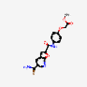 CC(C)(C)OC(=O)COc1ccc(NC(=O)c2cc3cc(C(N)=S)cnc3o2)cc1